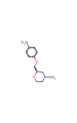 CN1CCOC(=COc2ccc([N+](=O)[O-])cc2)C1